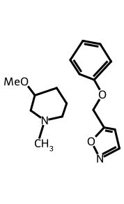 COC1CCCN(C)C1.c1ccc(OCc2ccno2)cc1